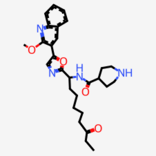 CCC(=O)CCCCCC(NC(=O)C1CCNCC1)c1ncc(-c2cc3ccccc3nc2OC)o1